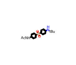 CC(=O)Nc1ccc(S(=O)(=O)c2ccc(NC(C)(C)C)cc2)cc1